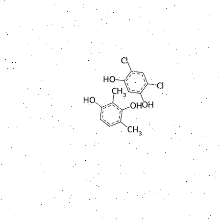 Cc1ccc(O)c(C)c1O.Oc1cc(O)c(Cl)cc1Cl